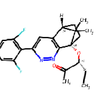 CC[C@@H](O[C@]12CC[C@@H](c3cc(-c4c(F)cccc4F)nnc31)C2(C)C)C(C)=O